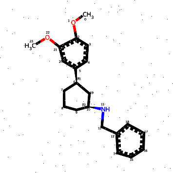 COc1ccc([C@@H]2CCC[C@H](NCc3ccccc3)C2)cc1OC